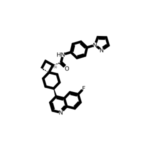 O=C(Nc1ccc(-n2cccn2)cc1)[C@H]1CC[C@]12CC[C@H](c1ccnc3ccc(F)cc31)CC2